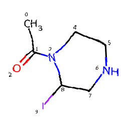 CC(=O)N1CCNCC1I